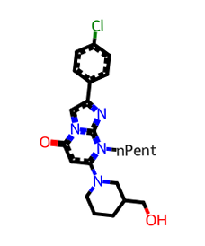 CCCCCn1c(N2CCCC(CO)C2)cc(=O)n2cc(-c3ccc(Cl)cc3)nc12